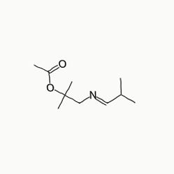 CC(=O)OC(C)(C)C/N=C/C(C)C